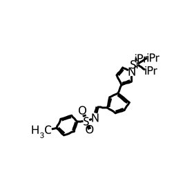 Cc1ccc(S(=O)(=O)N=Cc2cccc(-c3ccn([Si](C(C)C)(C(C)C)C(C)C)c3)c2)cc1